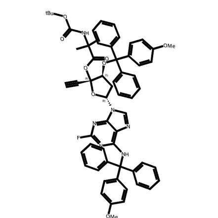 C#C[C@]1(OC(=O)C(C)(C)NC(=O)OC(C)(C)C)O[C@@H](n2cnc3c(NC(c4ccccc4)(c4ccccc4)c4ccc(OC)cc4)nc(F)nc32)C[C@@H]1OC(c1ccccc1)(c1ccccc1)c1ccc(OC)cc1